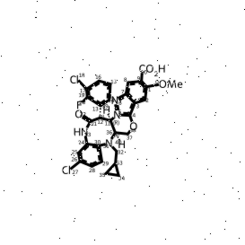 COc1cc2c3n(nc2cc1C(=O)O)[C@@H]1[C@@H](c2cccc(Cl)c2F)C(=O)Nc2cc(Cl)ccc2N(CC2CC2)[C@@H]1CO3